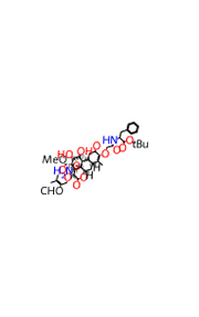 COC(=O)[C@@]12OC[C@]34C([C@@H](O)[C@@H]1O)[C@@]1(C)CC(=O)C(OCC(=O)NC(Cc5ccccc5)C(=O)OC(C)(C)C)=C(C)[C@@H]1C[C@H]3OC(=O)[C@H](OCC(C=O)=C(C)C)[C@@]24N